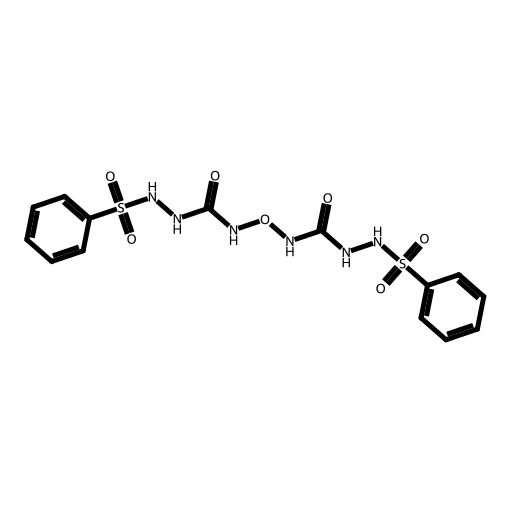 O=C(NNS(=O)(=O)c1ccccc1)NONC(=O)NNS(=O)(=O)c1ccccc1